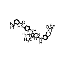 Cc1cc(NC(=O)c2cccc(C(F)(F)F)c2)ccc1Nc1nn(C)c2nc(Nc3ccc4c(c3)CN(C(=O)C(F)(F)F)CC4)ncc12